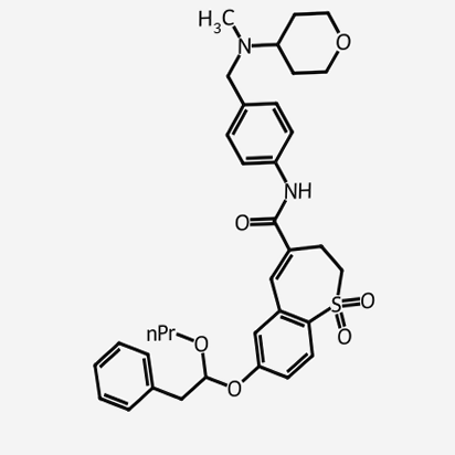 CCCOC(Cc1ccccc1)Oc1ccc2c(c1)C=C(C(=O)Nc1ccc(CN(C)C3CCOCC3)cc1)CCS2(=O)=O